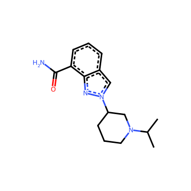 CC(C)N1CCCC(n2cc3cccc(C(N)=O)c3n2)C1